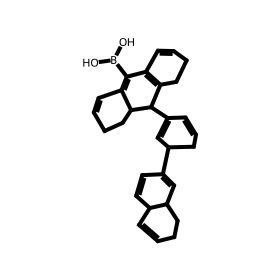 OB(O)C1=C2C=CCCC2C(C2=CC(C3=CC4CCC=CC4C=C3)CC=C2)C2=C1C=CCC2